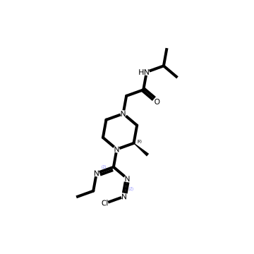 CC/N=C(\N=N/Cl)N1CCN(CC(=O)NC(C)C)C[C@H]1C